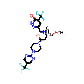 COC[C@H](CC(=O)N1CCN(c2ncc(C(F)(F)F)cn2)CC1)N(C)Cc1cc(C(F)(F)F)c(=O)[nH]n1